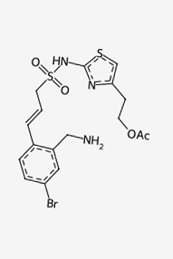 CC(=O)OCCc1csc(NS(=O)(=O)CC=Cc2ccc(Br)cc2CN)n1